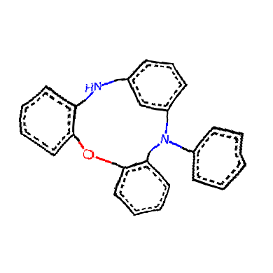 c1ccc(N2c3cccc(c3)Nc3ccccc3Oc3ccccc32)cc1